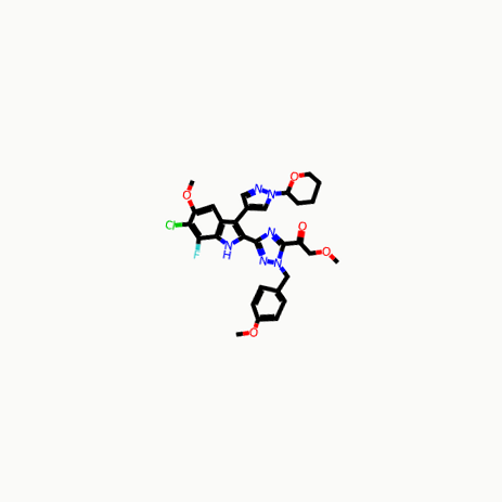 COCC(=O)c1nc(-c2[nH]c3c(F)c(Cl)c(OC)cc3c2-c2cnn(C3CCCCO3)c2)nn1Cc1ccc(OC)cc1